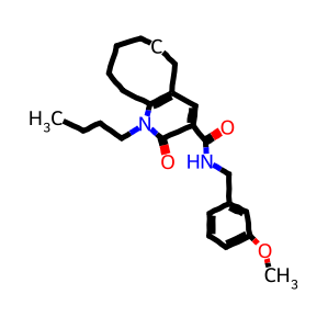 CCCCn1c2c(cc(C(=O)NCc3cccc(OC)c3)c1=O)CCCCCC2